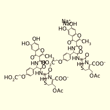 CC(=O)OCC1=C(C(=O)[O-])N2C(=O)[C@@H](NC(=O)C(NC(=O)c3c(C)oc4cc(O)c(O)cc4c3=O)c3ccc(OCC(=O)O)cc3)[C@H]2SC1.CC(=O)OCC1=C(C(=O)[O-])N2C(=O)[C@@H](NC(=O)C(NC(=O)c3c(C)oc4cc(O)c(O)cc4c3=O)c3ccc(OCC(=O)O)cc3)[C@H]2SC1.[Na+].[Na+]